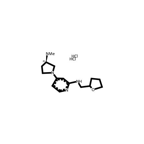 CN[C@@H]1CCN(c2ccnc(NCC3CCCO3)c2)C1.Cl.Cl